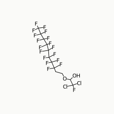 OC(OCCC(F)(F)C(F)(F)C(F)(F)C(F)(F)C(F)(F)C(F)(F)C(F)(F)C(F)(F)F)C(F)(Cl)Cl